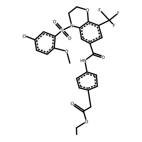 CCOC(=O)Cc1ccc(NC(=O)c2cc3c(c(C(F)(F)F)c2)OCCN3S(=O)(=O)c2cc(Cl)ccc2OC)cc1